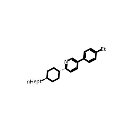 CCCCCCC[C@H]1CC[C@H](c2ccc(-c3ccc(CC)cc3)cn2)CC1